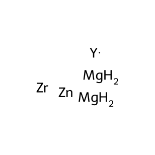 [MgH2].[MgH2].[Y].[Zn].[Zr]